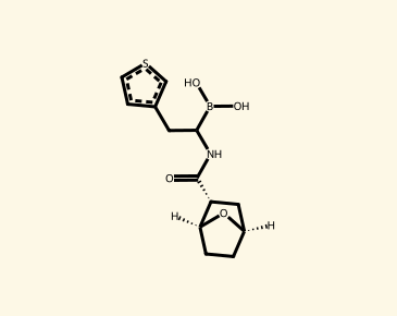 O=C(NC(Cc1ccsc1)B(O)O)[C@@H]1C[C@H]2CC[C@@H]1O2